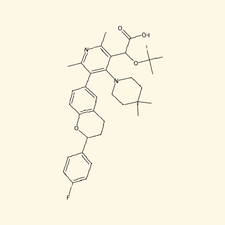 Cc1nc(C)c(C(OC(C)(C)C)C(=O)O)c(N2CCC(C)(C)CC2)c1-c1ccc2c(c1)CCC(c1ccc(F)cc1)O2